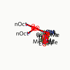 CCCC(C)(C)C(=O)Nc1ccc(Cl)cc1.CCCCCCCC/C=C/CCCCCCCC(=O)OCC(COC(=O)CCCCCCC/C=C/CCCCCCCC)OC(=O)CCCCCCC/C=C/CCCCCCCC.CCCCN(CC)C(=O)SCCC.CNC(=O)/C=C(\C)OP(=O)(OC)OC.COP(=S)(OC)Oc1ccc([N+](=O)[O-])cc1.Cc1cccc(C)c1N(C(=O)CCl)C1CCOC1=O